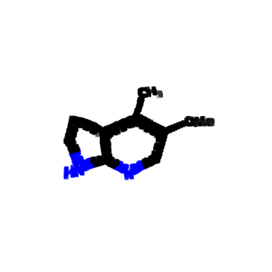 COc1cnc2[nH]ccc2c1C